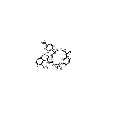 Cc1cccc(C)c1-c1cc2nc(n1)NS(=O)(=O)c1cccc(c1)C(=O)NCCC2c1ccc(C(C)(C)C)cc1